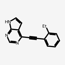 CCc1ccccc1C#Cc1ncnc2[nH]ccc12